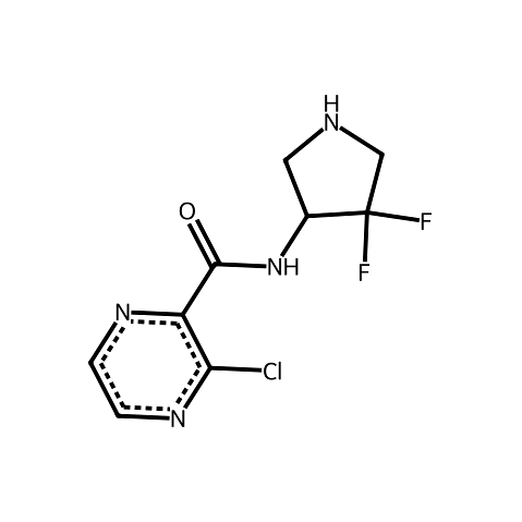 O=C(NC1CNCC1(F)F)c1nccnc1Cl